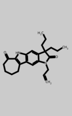 C=CCN1C(=O)C(CCC)(CCC)c2cc3[nH]c4c(c3cc21)CCCCC4=O